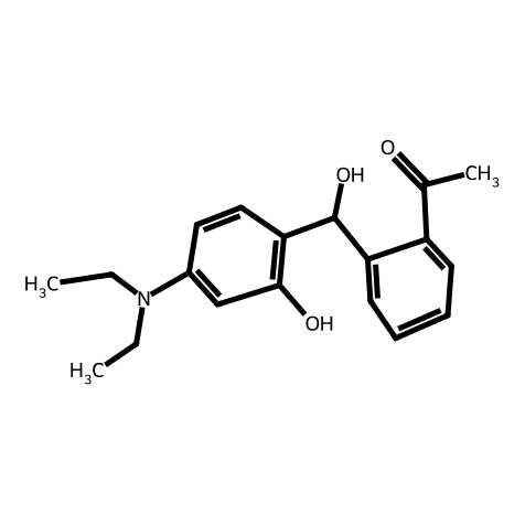 CCN(CC)c1ccc(C(O)c2ccccc2C(C)=O)c(O)c1